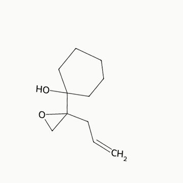 C=CCC1(C2(O)CCCCC2)CO1